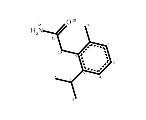 Cc1cccc(C(C)C)c1CC(N)=O